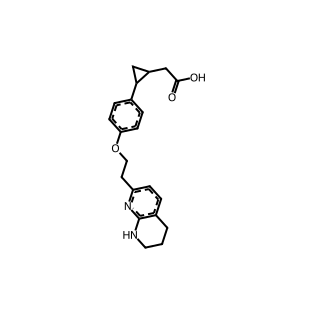 O=C(O)CC1CC1c1ccc(OCCc2ccc3c(n2)NCCC3)cc1